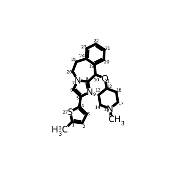 Cc1ccc(-c2cn3c(n2)C(OC2CCN(C)CC2)c2ccccc2CC3)s1